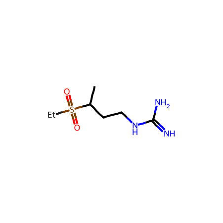 CCS(=O)(=O)C(C)CCNC(=N)N